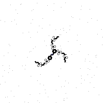 CCCC(=O)O[C@H](C)CCOC(=O)Oc1ccc(/C=C/c2cc(OC(=O)OCC[C@@H](C)OC(=O)CCC)cc(OC(=O)OCC[C@@H](C)OC(=O)CCC)c2)cc1